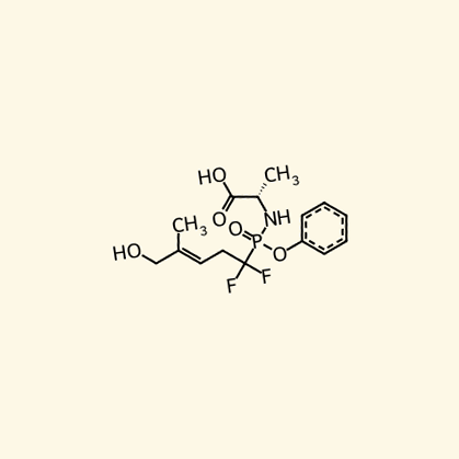 C/C(=C\CC(F)(F)P(=O)(N[C@@H](C)C(=O)O)Oc1ccccc1)CO